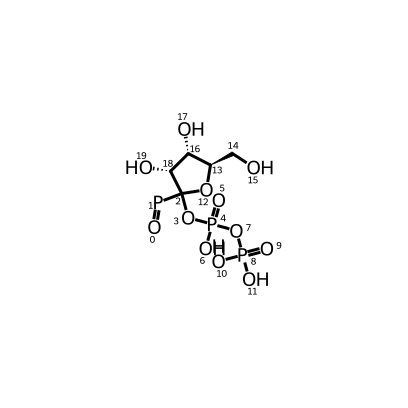 O=PC1(OP(=O)(O)OP(=O)(O)O)O[C@H](CO)[C@@H](O)[C@H]1O